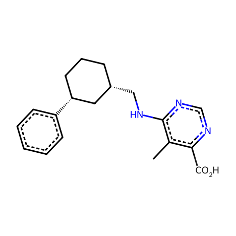 Cc1c(NC[C@H]2CCC[C@@H](c3ccccc3)C2)ncnc1C(=O)O